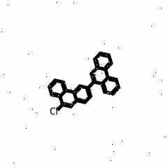 Clc1cc2ccc(-c3cc4ccccc4c4ccccc34)cc2c2ccccc12